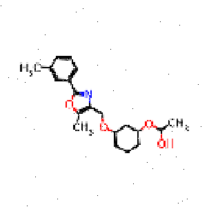 Cc1cccc(-c2nc(COC3CCCC(OC(C)O)C3)c(C)o2)c1